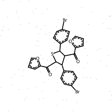 O=C(c1ccco1)C1SC(c2ccc(Br)cc2)C(C(=O)c2ccco2)C1c1ccc(Br)cc1